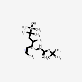 C/C=C\[C@@H](CNC(=O)OC(C)(C)C)C(C)CC(C)(C)[Si](C)(C)O